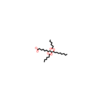 CCCCCCCCC(OC(=O)CCCCC)C(CCCCCCCC([O])=O)OC(=O)CCCCC